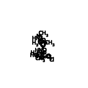 Cc1cc(Oc2c(C)cc(C(=O)N[C@H](C)C(=O)N3C(C(C)(C)O)CC[C@H]3c3cccc(Cl)c3)cc2C)c(=O)[nH]n1